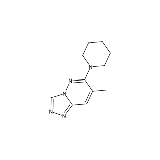 Cc1cc2nncn2nc1N1CCCCC1